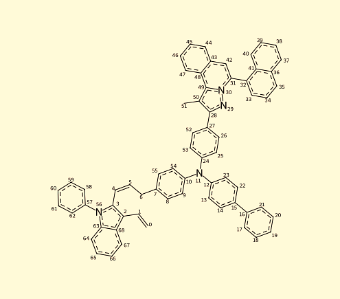 C=Cc1c(/C=C\Cc2ccc(N(c3ccc(-c4ccccc4)cc3)c3ccc(-c4nn5c(-c6cccc7ccccc67)cc6ccccc6c5c4C)cc3)cc2)n(-c2ccccc2)c2ccccc12